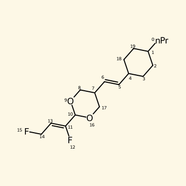 CCCC1CCC(/C=C/C2COC(/C(F)=C/CF)OC2)CC1